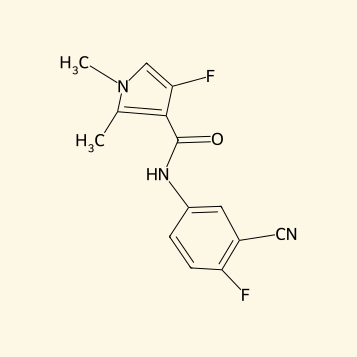 Cc1c(C(=O)Nc2ccc(F)c(C#N)c2)c(F)cn1C